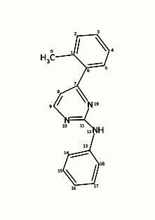 Cc1ccccc1-c1ccnc(Nc2ccccc2)n1